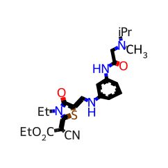 CCOC(=O)C(C#N)=c1sc(=CNc2cccc(NC(=O)CN(C)C(C)C)c2)c(=O)n1CC